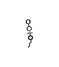 CCCCc1ccc(S(=O)(=O)N2CCC(C3C=CCC=C3)CC2)cc1